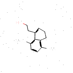 COc1ccc(OC)c2c1CCC=C2CCO